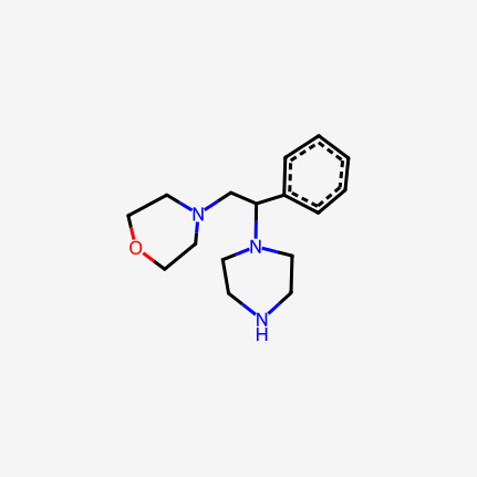 c1ccc(C(CN2CCOCC2)N2CCNCC2)cc1